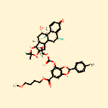 COc1ccc(C2Oc3cc(C(=O)OCCCCO[N+](=O)[O-])cc(OC(=O)OCC(=O)[C@@]45OC(C)(C)O[C@@H]4CC4C6C[C@H](F)C7=CC(=O)C=C[C@]7(C)[C@@]6(F)[C@@H](O)C[C@@]45C)c3O2)cc1